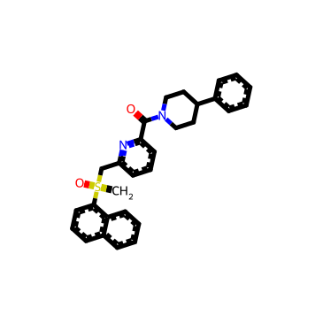 C=S(=O)(Cc1cccc(C(=O)N2CCC(c3ccccc3)CC2)n1)c1cccc2ccccc12